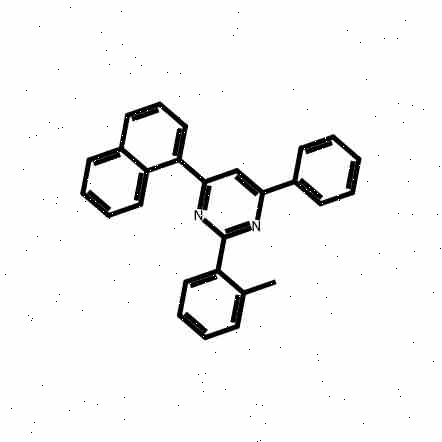 Cc1ccccc1-c1nc(-c2ccccc2)cc(-c2cccc3ccccc23)n1